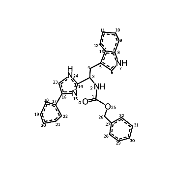 O=C(NC(Cc1c[nH]c2ccccc12)c1nc(-c2ccccc2)c[nH]1)OCc1ccccc1